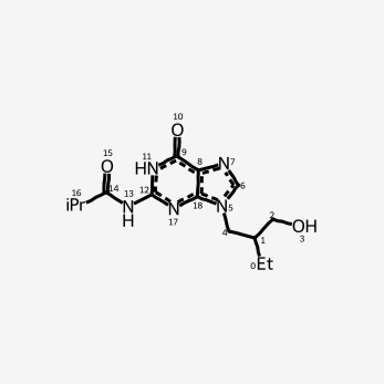 CCC(CO)Cn1cnc2c(=O)[nH]c(NC(=O)C(C)C)nc21